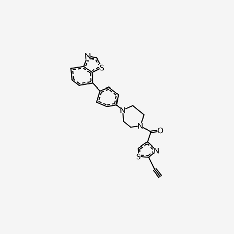 C#Cc1nc(C(=O)N2CCN(c3ccc(-c4cccc5ncsc45)cc3)CC2)cs1